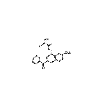 CCCCC(=O)NCCc1cc(C(=O)c2ccccc2)cc2ccc(OC)cc12